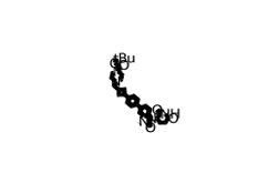 Cn1c(=O)n(C2CCC(=O)NC2=O)c2ccc(-c3ccc(C4CC(CN5CCN(C(=O)OC(C)(C)C)CC5)C4)cc3)cc21